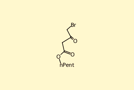 CCCCCOC(=O)CC(=O)CBr